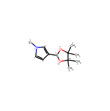 CCn1ccc(B2OC(C)(C)C(C)(C)O2)c1